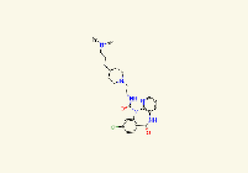 CC(C)N(CCCC1CCN(CCNC(=O)N2c3cc(Cl)ccc3C(=O)Nc3cccnc32)CC1)C(C)C